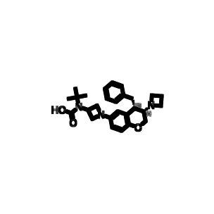 CC(C)(C)N(C(=O)O)C1CN(c2ccc3c(c2)[C@H](Cc2ccccc2)[C@H](N2CCC2)CO3)C1